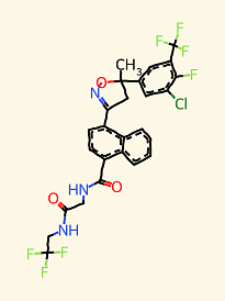 CC1(c2cc(Cl)c(F)c(C(F)(F)F)c2)CC(c2ccc(C(=O)NCC(=O)NCC(F)(F)F)c3ccccc23)=NO1